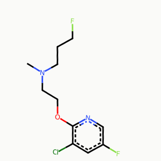 CN(CCCF)CCOc1ncc(F)cc1Cl